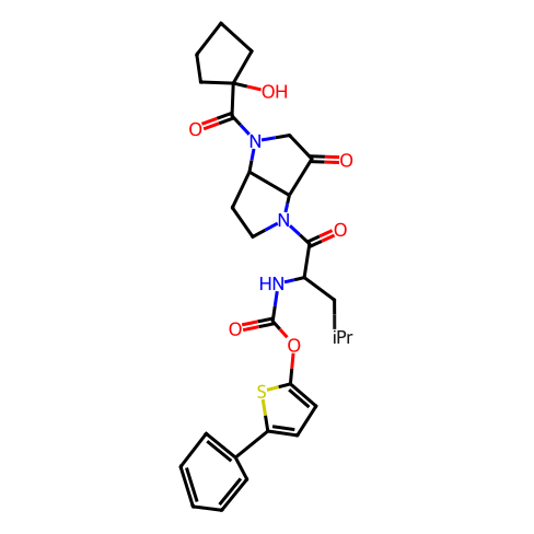 CC(C)CC(NC(=O)Oc1ccc(-c2ccccc2)s1)C(=O)N1CCC2C1C(=O)CN2C(=O)C1(O)CCCC1